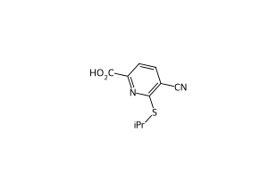 CC(C)Sc1nc(C(=O)O)ccc1C#N